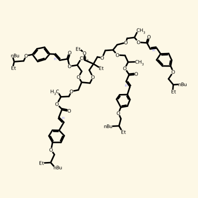 CCCCC(CC)COc1ccc(/C=C/C(=O)OC(C)COCC(COCC(CC)(COCC)COCC(COCC(C)OC(=O)/C=C/c2ccc(OCC(CC)CCCC)cc2)OCC(C)OC(=O)/C=C/c2ccc(OCC(CC)CCCC)cc2)OCC(C)OC(=O)/C=C/c2ccc(OCC(CC)CCCC)cc2)cc1